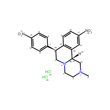 CN1CCN2C[C@@H](c3ccc([N+](=O)[O-])cc3)c3ccc([N+](=O)[O-])cc3[C@@H]2C1.Cl.Cl